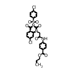 C=CCOC(=O)c1ccc(NC(=O)Cn2c(=O)n(S(=O)(=O)c3ccc(Cl)cc3)c(=O)c3ccc(Cl)cc32)cc1